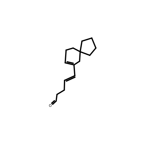 O=CCCC=CC1=CCCC2(CCCC2)C1